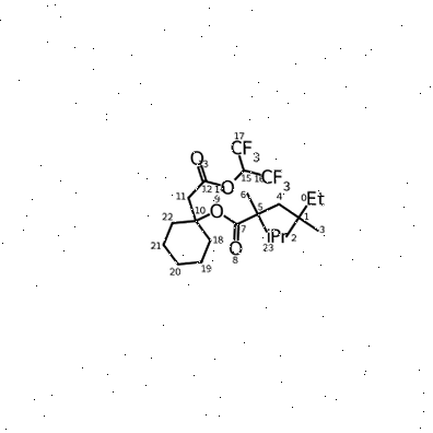 CCC(C)(C)CC(C)(C(=O)OC1(CC(=O)OC(C(F)(F)F)C(F)(F)F)CCCCC1)C(C)C